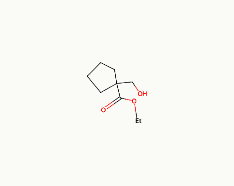 CCOC(=O)C1(CO)CCCC1